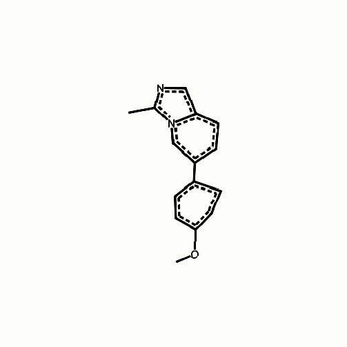 COc1ccc(-c2ccc3cnc(C)n3c2)cc1